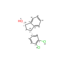 O[C@H]1C[C@@H](c2ccc(Cl)c(Cl)c2)c2ccccc21